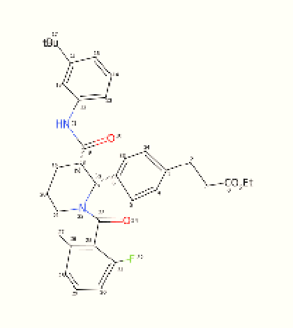 CCOC(=O)CCc1ccc([C@H]2[C@@H](C(=O)Nc3cccc(C(C)(C)C)c3)CCCN2C(=O)c2c(C)cccc2F)cc1